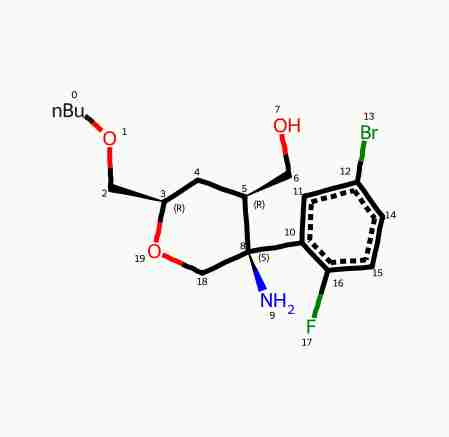 CCCCOC[C@H]1C[C@@H](CO)[C@](N)(c2cc(Br)ccc2F)CO1